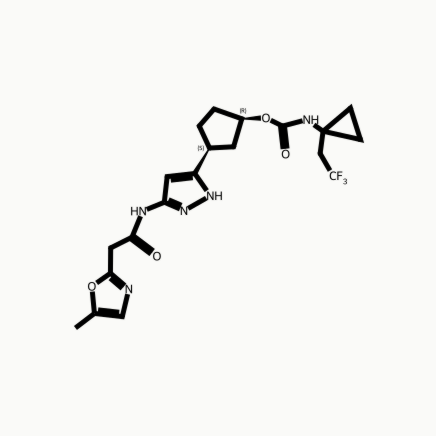 Cc1cnc(CC(=O)Nc2cc([C@H]3CC[C@@H](OC(=O)NC4(CC(F)(F)F)CC4)C3)[nH]n2)o1